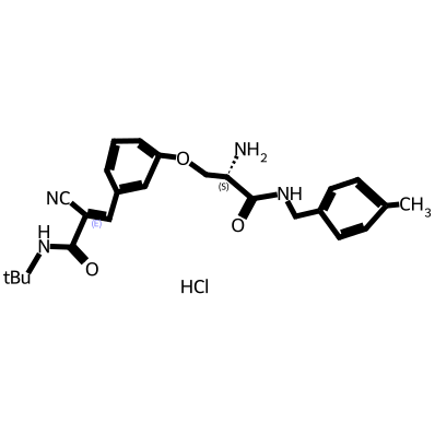 Cc1ccc(CNC(=O)[C@@H](N)COc2cccc(/C=C(\C#N)C(=O)NC(C)(C)C)c2)cc1.Cl